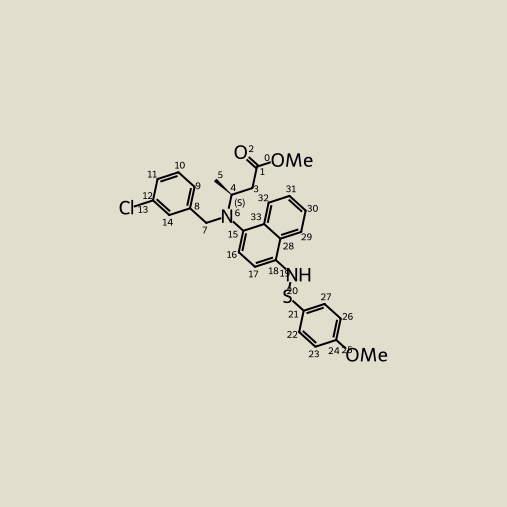 COC(=O)C[C@H](C)N(Cc1cccc(Cl)c1)c1ccc(NSc2ccc(OC)cc2)c2ccccc12